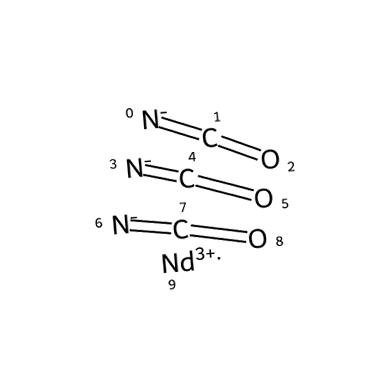 [N-]=C=O.[N-]=C=O.[N-]=C=O.[Nd+3]